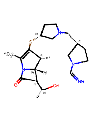 C[C@@H](O)[C@H]1C(=O)N2C(C(=O)O)=C(S[C@@H]3CCN(C[C@@H]4CCN(C=N)C4)C3)[C@H](C)[C@H]12